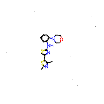 Cc1nc(C)c(-c2csc(Nc3ccccc3N3CCOCC3)n2)s1